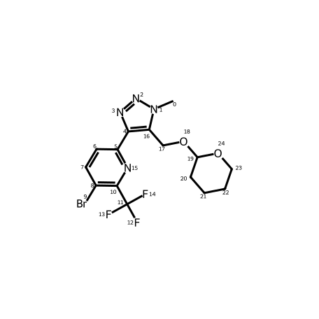 Cn1nnc(-c2ccc(Br)c(C(F)(F)F)n2)c1COC1CCCCO1